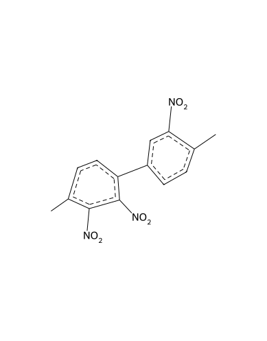 Cc1ccc(-c2ccc(C)c([N+](=O)[O-])c2[N+](=O)[O-])cc1[N+](=O)[O-]